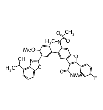 CNC(=O)c1c(-c2ccc(F)cc2)oc2cc(N(C)S(C)(=O)=O)c(-c3ccc(OC)c(-c4nc5c(C(C)O)cccc5o4)c3)cc12